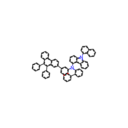 c1ccc(-c2ccccc2N(c2cccc(-c3ccc4c(c3)c(-c3ccccc3)c(-c3ccccc3)c3ccccc34)c2)c2cccc3c2c2ccccc2n3-c2cccc3ccccc23)cc1